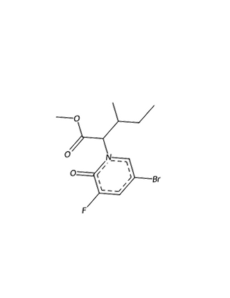 CCC(C)C(C(=O)OC)n1cc(Br)cc(F)c1=O